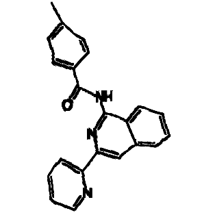 Cc1ccc(C(=O)Nc2nc(-c3ccccn3)cc3ccccc23)cc1